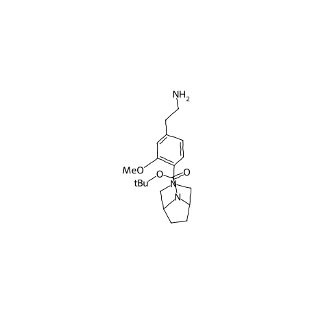 COc1cc(CCN)ccc1N1CC2CCC(C1)N2C(=O)OC(C)(C)C